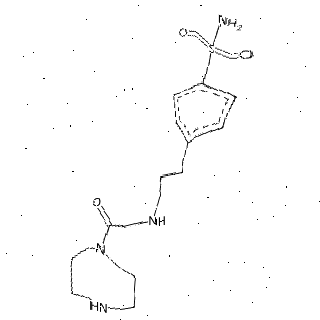 NS(=O)(=O)c1ccc(CCNC(=O)N2CCNCC2)cc1